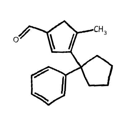 CC1=C(C2(c3ccccc3)CCCC2)C=C(C=O)C1